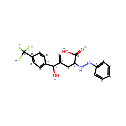 C=C(CC(NNc1ccccc1)C(=O)O)C(O)c1ccc(C(F)(F)F)cc1